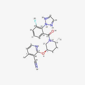 Cc1ccnc(O[C@@H]2CC[C@@H](C)N(C(=O)c3cccc(F)c3-n3nccn3)C2)c1C#N